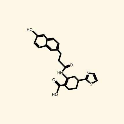 O=C(CCc1ccc2cc(O)ccc2c1)NC1=C(C(=O)O)CCC(c2nccs2)C1